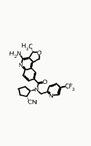 C[C@@H]1OCc2c1c(N)nc1ccc(C(=O)N(Cc3ccc(C(F)(F)F)cn3)[C@@H]3CCC[C@H]3C#N)cc21